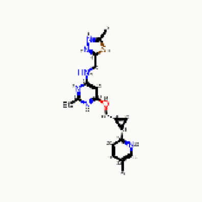 CCc1nc(NCc2nnc(C)s2)cc(OC[C@@H]2C[C@H]2c2ccc(C)cn2)n1